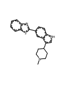 CN1CCC(c2c[nH]c3ccc(-c4nc5ccccc5s4)cc23)CC1